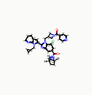 N[C@@H]1[C@@H]2CC[C@H]1N(C(=O)c1cc(Cl)c3c(c1)nc(-c1cc4cccnc4n1CC1CC1)n3CC1CN(C(=O)c3ccncc3)C1)C2